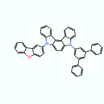 c1ccc(-c2cc(-c3ccccc3)cc(-n3c4ccccc4c4c5c6ccccc6n(-c6ccc7oc8ccccc8c7c6)c5ccc43)c2)cc1